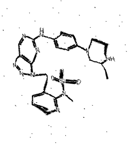 C[C@H]1CN(c2ccc(Nc3ncc4nnn(Cc5cccnc5N(C)S(C)(=O)=O)c4n3)cc2)CCN1